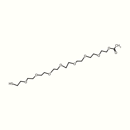 CC(=O)OCCOCCOCCOCCOCCOCCOCCOCCS